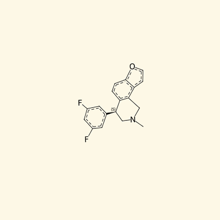 CN1Cc2c(ccc3occc23)[C@H](c2cc(F)cc(F)c2)C1